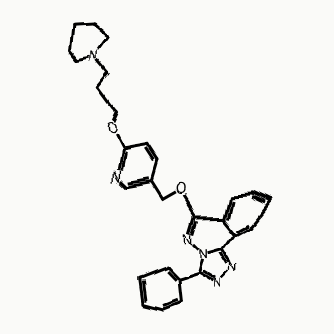 c1ccc(-c2nnc3c4ccccc4c(OCc4ccc(OCCCN5CCCCC5)nc4)nn23)cc1